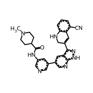 CN1CCC(C(=O)Nc2cncc(-c3cnc4[nH]nc(C5=Cc6c(C#N)cccc6NC5)c4c3)c2)CC1